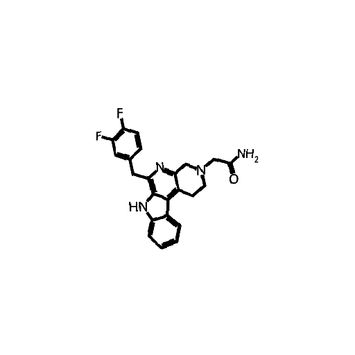 NC(=O)CN1CCc2c(nc(Cc3ccc(F)c(F)c3)c3[nH]c4ccccc4c23)C1